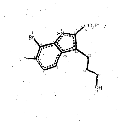 CCOC(=O)c1[nH]c2c(Br)c(F)ccc2c1CCCO